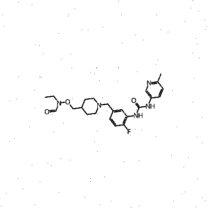 CCN(C=O)OCC1CCN(Cc2ccc(F)c(NC(=O)Nc3ccc(C)nc3)c2)CC1